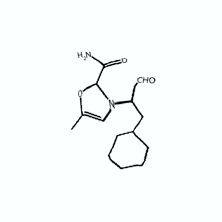 CC1=CN(C(C=O)CC2CCCCC2)C(C(N)=O)O1